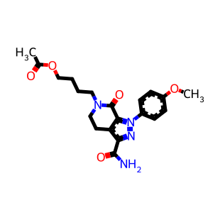 COc1ccc(-n2nc(C(N)=O)c3c2C(=O)N(CCCCOC(C)=O)CC3)cc1